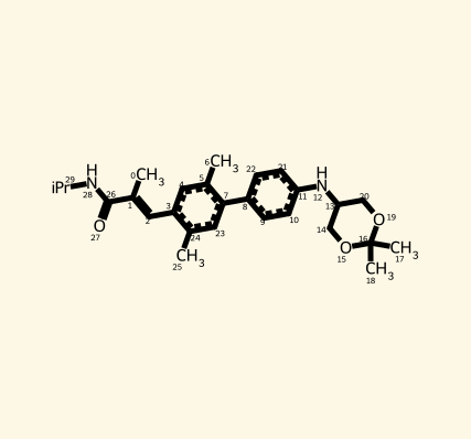 C/C(=C\c1cc(C)c(-c2ccc(NC3COC(C)(C)OC3)cc2)cc1C)C(=O)NC(C)C